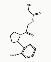 CSc1ccccc1C1CCCN1C(=O)CNC(=O)OC(C)(C)C